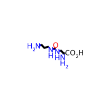 NCCCNC(=O)NCC(N)C(=O)O